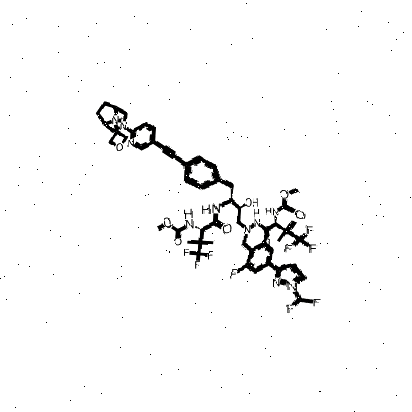 COC(=O)N[C@H](C(=O)N[C@@H](Cc1ccc(C#Cc2ccc(N3CC4CCC(C3)[N+]4(C)C3COC3)nc2)cc1)[C@@H](O)CN(Cc1c(F)cc(-c2ccn(C(F)F)n2)cc1F)NC(=O)[C@@H](NC(=O)OC)C(C)(C)C(F)(F)F)C(C)(C)C(F)(F)F